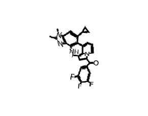 Cc1nc2c(N)c(-c3cccn4c(C(=O)c5cc(F)c(F)c(F)c5)cc(I)c34)c(C3CC3)cc2n1C